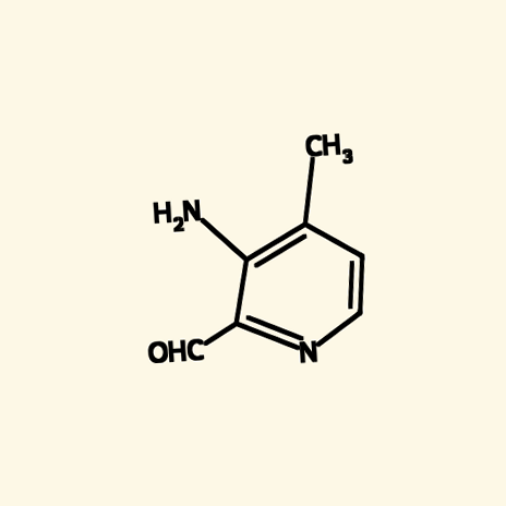 Cc1ccnc(C=O)c1N